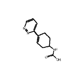 O=C(O)NC1CC=C(c2cccnn2)CC1